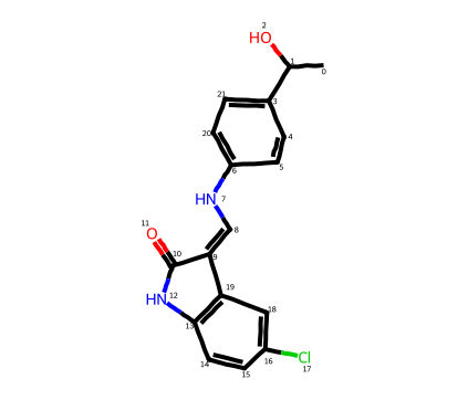 CC(O)c1ccc(NC=C2C(=O)Nc3ccc(Cl)cc32)cc1